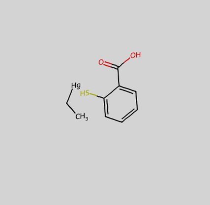 C[CH2][Hg].O=C(O)c1ccccc1S